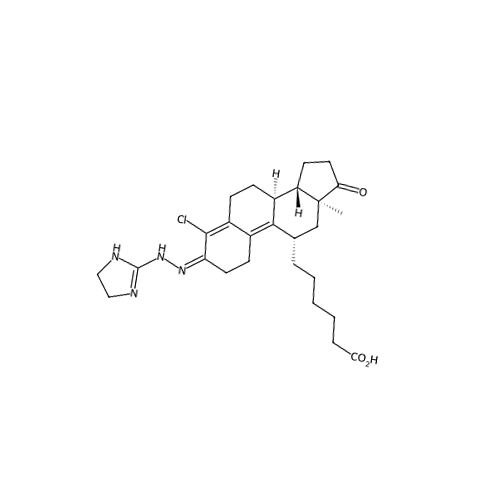 C[C@]12C[C@H](CCCCCC(=O)O)C3=C4CCC(=NNC5=NCCN5)C(Cl)=C4CC[C@H]3[C@@H]1CCC2=O